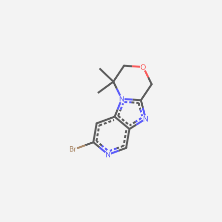 CC1(C)COCc2nc3cnc(Br)cc3n21